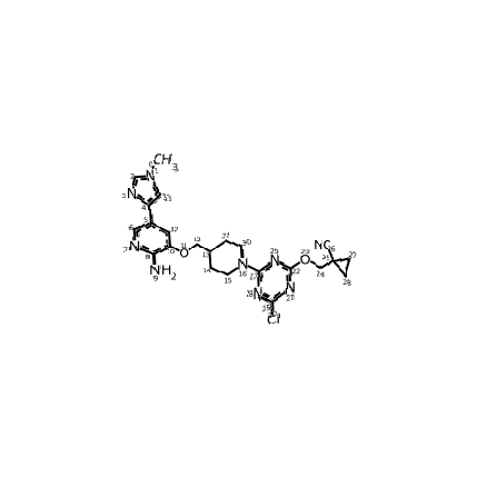 Cn1cnc(-c2cnc(N)c(OCC3CCN(c4nc(Cl)nc(OCC5(C#N)CC5)n4)CC3)c2)c1